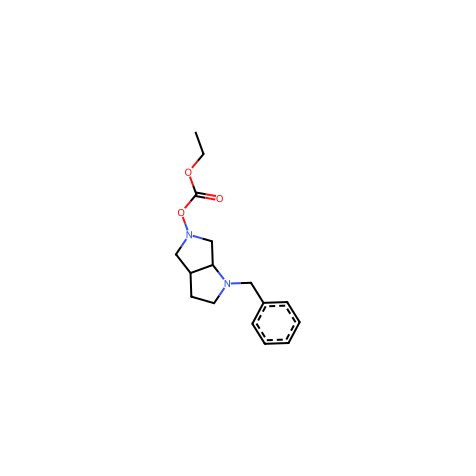 CCOC(=O)ON1CC2CCN(Cc3ccccc3)C2C1